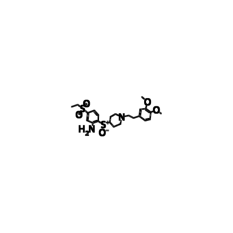 CCS(=O)(=O)c1ccc([S+]([O-])C2CCN(CCc3ccc(OC)c(OC)c3)CC2)c(N)c1